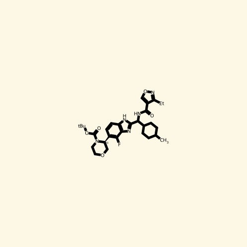 CCc1nocc1C(=O)NC(c1nc2c(F)c([C@H]3COCCN3C(=O)OC(C)(C)C)ccc2[nH]1)C1CCC(C)CC1